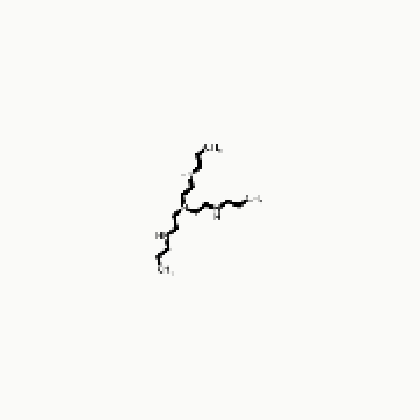 CCCNCCN(CCNCCC)CCNCCC